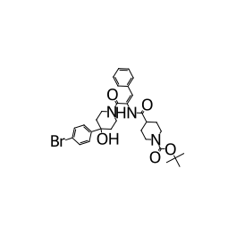 CC(C)(C)OC(=O)N1CCC(C(=O)NC(=Cc2ccccc2)C(=O)N2CCC(O)(c3ccc(Br)cc3)CC2)CC1